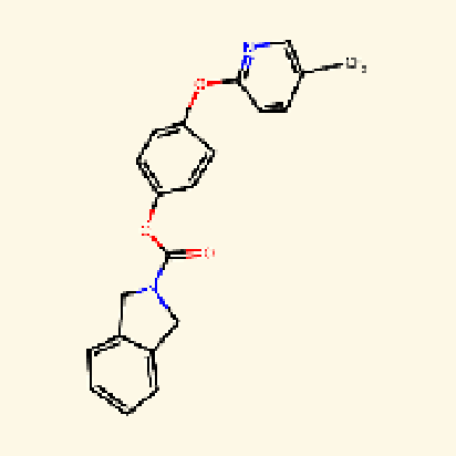 O=C(Oc1ccc(Oc2ccc(C(F)(F)F)cn2)cc1)N1Cc2ccccc2C1